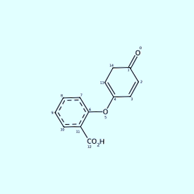 O=C1C=CC(Oc2ccccc2C(=O)O)=CC1